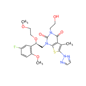 COCCO[C@@H](Cn1c(=O)n(CCO)c(=O)c2c(C)c(-n3nccn3)sc21)c1cc(F)ccc1OC